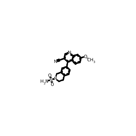 COc1ccc2c(-c3ccc4c(c3)CN(S(N)(=O)=O)CC4)c(C#N)cnc2c1